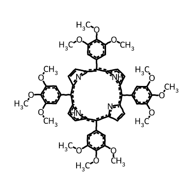 COc1cc(-c2c3nc(c(-c4cc(OC)c(OC)c(OC)c4)c4ccc([nH]4)c(-c4cc(OC)c(OC)c(OC)c4)c4nc(c(-c5cc(OC)c(OC)c(OC)c5)c5ccc2[nH]5)C=C4)C=C3)cc(OC)c1OC